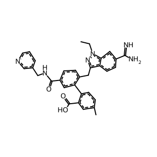 CCn1nc(Cc2ccc(C(=O)NCc3cccnc3)cc2-c2ccc(C)cc2C(=O)O)c2ccc(C(=N)N)cc21